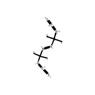 CC(C)(N=C=S)N=NC(C)(C)N=C=S